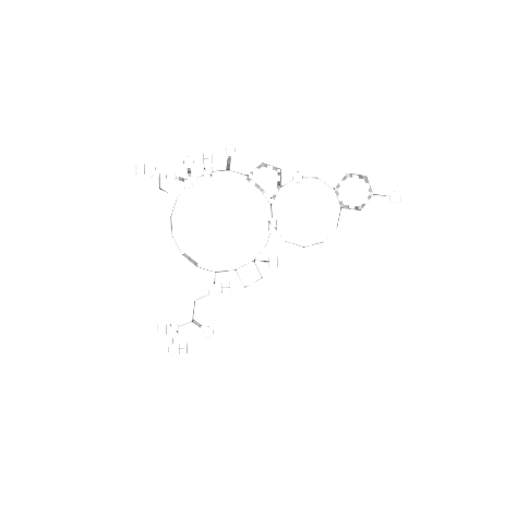 CC[C@@H]1CC/C=C\[C@H](OCC(=O)NC)[C@@H]2CC[C@H]2CN2CCCCc3cc(Cl)ccc3COc3ccc(cc32)C(=O)NS1(=O)=O